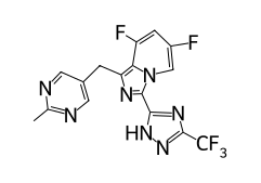 Cc1ncc(Cc2nc(-c3nc(C(F)(F)F)n[nH]3)n3cc(F)cc(F)c23)cn1